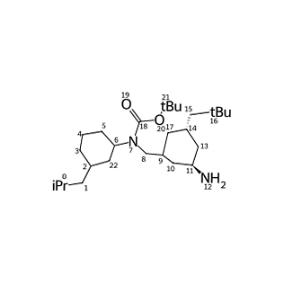 CC(C)CC1CCCC(N(CC2C[C@H](N)C[C@@H](CC(C)(C)C)C2)C(=O)OC(C)(C)C)C1